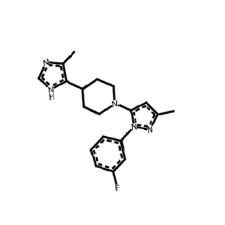 Cc1cc(N2CCC(c3[nH]cnc3C)CC2)n(-c2cccc(F)c2)n1